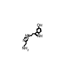 NCCc1cn(NCCc2c[nH]c3ccc(O)cc23)cn1